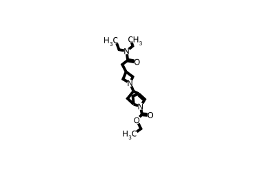 CCOC(=O)N1C=C2CC1CC2N1CC(CC(=O)N(CC)CC)C1